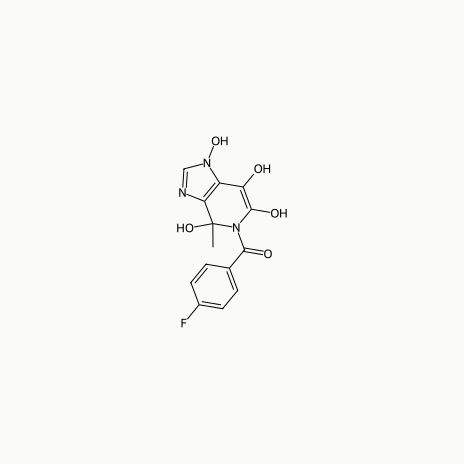 CC1(O)c2ncn(O)c2C(O)=C(O)N1C(=O)c1ccc(F)cc1